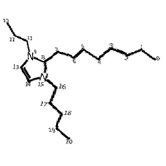 CCCCCCCCC1N(CCC)C=CN1CCCCC